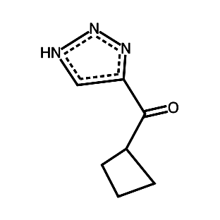 O=C(c1c[nH]nn1)C1CCC1